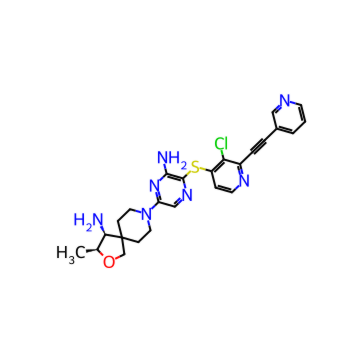 C[C@@H]1OCC2(CCN(c3cnc(Sc4ccnc(C#Cc5cccnc5)c4Cl)c(N)n3)CC2)[C@@H]1N